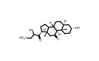 C[C@]12CC[C@@H](O)C[C@@H]1CC[C@H]1[C@@H]3CC[C@H](C(=O)C(O)CC(=O)O)[C@@]3(C)CC(=O)[C@@H]12